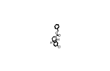 O=C(OCc1ccccc1)N1CC[C@@H]2C[C@@H]1c1cc(Cl)ccc12